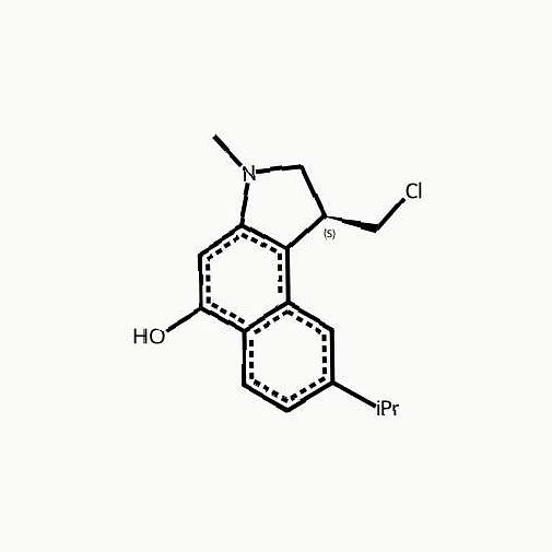 CC(C)c1ccc2c(O)cc3c(c2c1)[C@H](CCl)CN3C